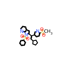 CS(=O)(=O)c1ccc(/C(=C\C2CCCC2)c2cc3cccnc3n2S(=O)(=O)c2ccccc2)cn1